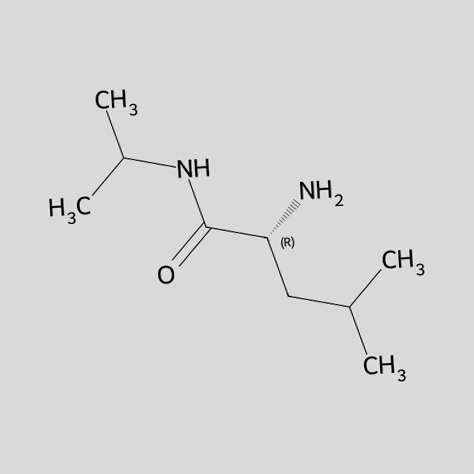 CC(C)C[C@@H](N)C(=O)NC(C)C